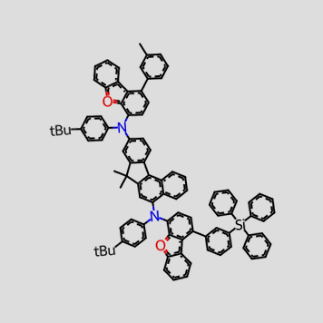 Cc1cccc(-c2ccc(N(c3ccc(C(C)(C)C)cc3)c3ccc4c(c3)C(C)(C)c3cc(N(c5ccc(C(C)(C)C)cc5)c5ccc(-c6cccc([Si](c7ccccc7)(c7ccccc7)c7ccccc7)c6)c6c5oc5ccccc56)c5ccccc5c3-4)c3oc4ccccc4c23)c1